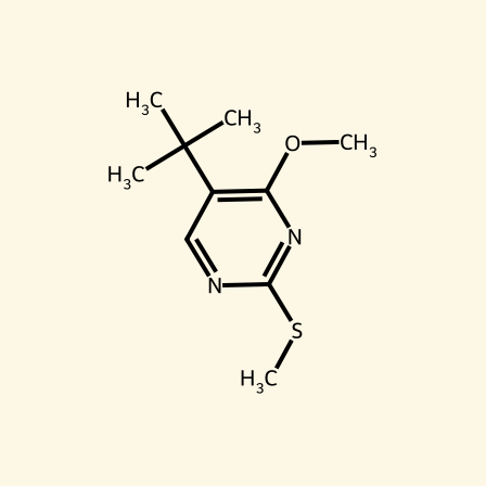 COc1nc(SC)ncc1C(C)(C)C